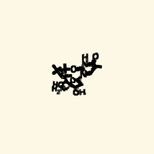 Cc1cn([C@H]2C[C@H](O)[C@@](CN)(C(O)[Si](C)(CC(C)(C)C)C(C)(C)C)O2)c(=O)[nH]c1=O